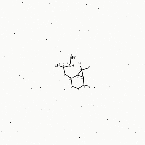 CCCNC(CC)CN1CCC(C)C2C1C2(C)C